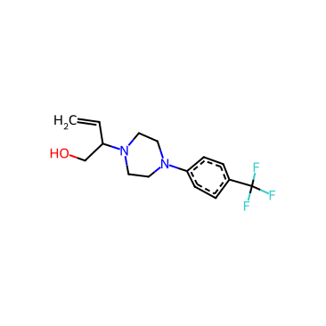 C=CC(CO)N1CCN(c2ccc(C(F)(F)F)cc2)CC1